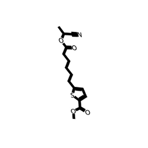 COC(=O)c1ccc(CCCCCC(=O)OC(C)C#N)s1